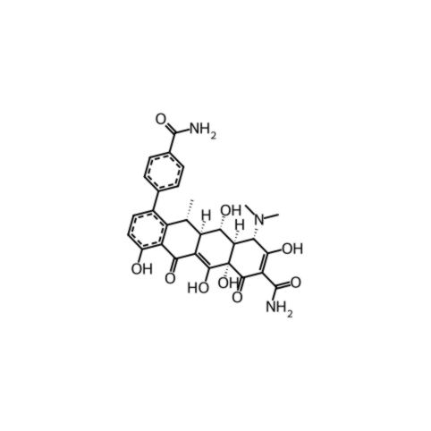 C[C@H]1c2c(-c3ccc(C(N)=O)cc3)ccc(O)c2C(=O)C2=C(O)[C@]3(O)C(=O)C(C(N)=O)=C(O)[C@@H](N(C)C)[C@@H]3[C@@H](O)[C@@H]21